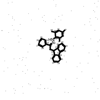 Cc1cc(C)c(NN=C(CC2c3ccccc3-c3ccccc32)c2ccccc2)c(C)c1